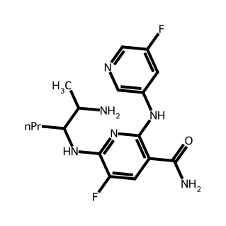 CCCC(Nc1nc(Nc2cncc(F)c2)c(C(N)=O)cc1F)C(C)N